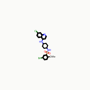 COc1ccc(Br)cc1S(=O)(=O)NC1CCC(Nc2ccnc3cc(Cl)ccc23)CC1